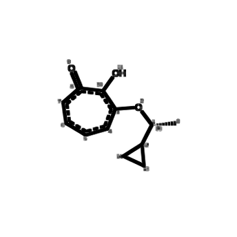 C[C@@H](Oc1ccccc(=O)c1O)C1CC1